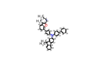 C=C/C=C\c1oc2c(-c3ccc(N(c4ccc(-c5ccccc5)cc4)c4ccc5c(c4)C(C)(C)c4ccccc4-5)cc3)cccc2c1C